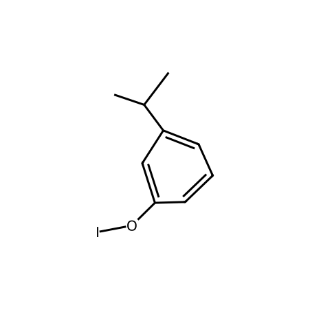 CC(C)c1cccc(OI)c1